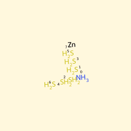 N.S.S.S.S.S.S.[Zn]